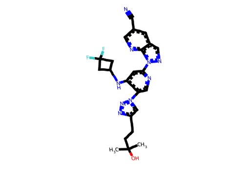 CC(C)(O)CCc1cn(-c2cnc(-n3ncc4cc(C#N)cnc43)cc2NC2CC(F)(F)C2)nn1